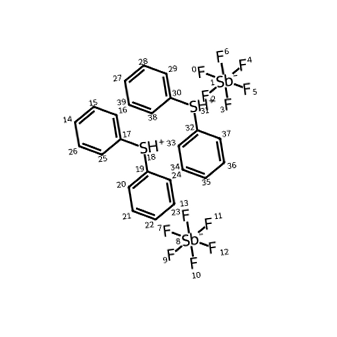 [F][Sb-]([F])([F])([F])([F])[F].[F][Sb-]([F])([F])([F])([F])[F].c1ccc([SH+]c2ccccc2)cc1.c1ccc([SH+]c2ccccc2)cc1